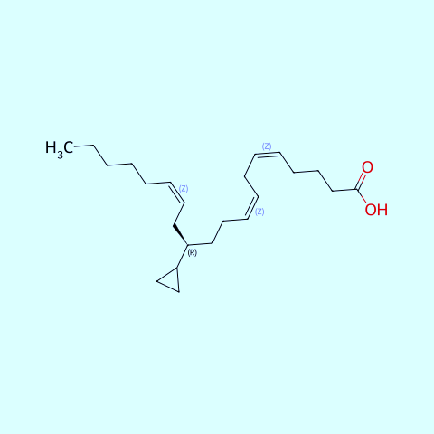 CCCCC/C=C\C[C@@H](CC/C=C\C/C=C\CCCC(=O)O)C1CC1